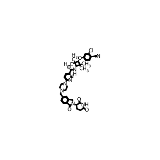 CC1(C)[C@H](NC(=O)c2ccc(N3CCN(Cc4ccc5c(c4)CN(C4CCC(=O)NC4=O)C5=O)CC3)nn2)C(C)(C)[C@H]1Oc1ccc(C#N)c(Cl)c1